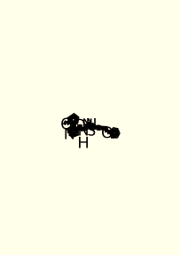 COc1ccccc1-c1cnccc1C(=O)Nc1nnc(C#CCOc2ccccc2)s1